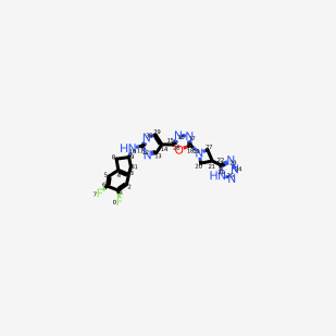 Fc1cc2c(cc1F)CC(Nc1ncc(-c3nnc(N4CC(c5nnn[nH]5)C4)o3)cn1)C2